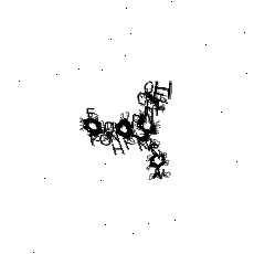 CN(C)C1CCN(c2nc(-c3c(F)ccc(NS(=O)(=O)c4cc(F)ccc4F)c3F)c(-c3ccncc3)s2)CC1.O=C(O)C(F)(F)F